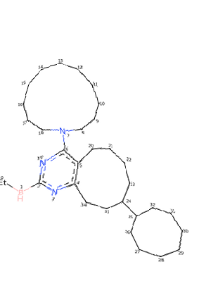 CCBc1nc2c(c(N3CCCCCCCCCCC3)n1)CCCCC(C1CCCCCCC1)CC2